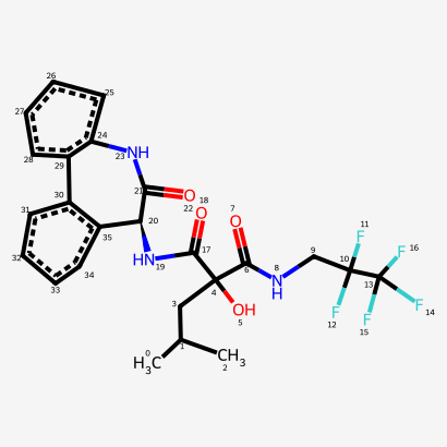 CC(C)CC(O)(C(=O)NCC(F)(F)C(F)(F)F)C(=O)N[C@@H]1C(=O)Nc2ccccc2-c2ccccc21